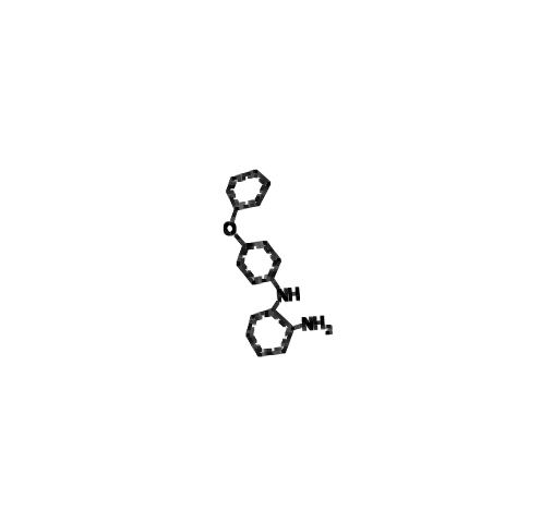 Nc1ccccc1Nc1ccc(Oc2ccccc2)cc1